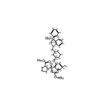 COC(=O)[C@@H]1CCCN1[S@@](=O)(=NC(=O)OC(C)(C)C)c1ccc(C)cc1O[C@@H]1CCC[C@H](CCO[Si](c2ccccc2)(c2ccccc2)C(C)(C)C)C1